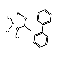 CCOC(C)OCC.CCOCC.c1ccc(-c2ccccc2)cc1